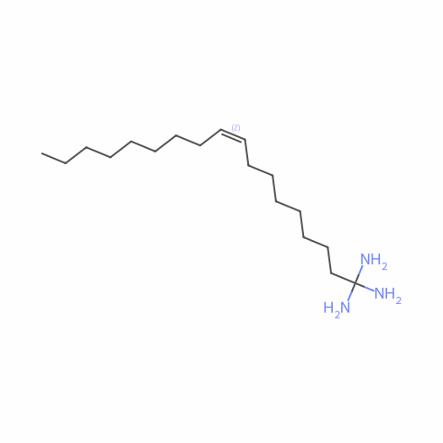 CCCCCCCC/C=C\CCCCCCCC(N)(N)N